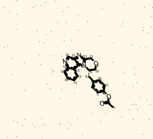 CC(=O)Oc1ccc(C[C@H]2COCc3nc4cnc5ccccc5c4n32)cc1